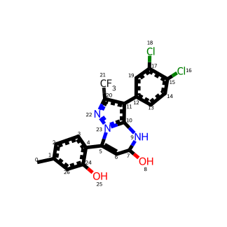 Cc1ccc(C2=CC(O)Nc3c(-c4ccc(Cl)c(Cl)c4)c(C(F)(F)F)nn32)c(O)c1